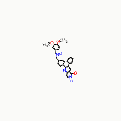 COc1ccc(CNCc2ccc(-c3nc4cc[nH]c(=O)c4cc3-c3ccccc3)cc2)cc1OC